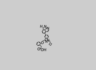 Nc1nccc2c(-c3ccc4c(c3)c(COc3ccccc3CC(=O)O)nn4CC3CCC3)cccc12